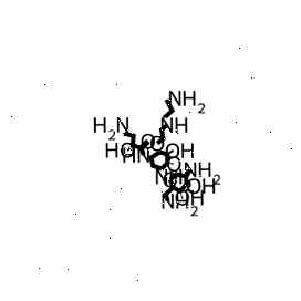 NCCCNCCOC1[C@@H](O)[C@H](O[C@H]2OC(CN)[C@@H](O)[C@H](O)C2N)C(N)C[C@H]1NC(=O)[C@@H](O)CCN